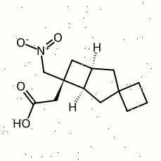 O=C(O)C[C@@]1(C[N+](=O)[O-])C[C@H]2CC3(CCC3)C[C@H]21